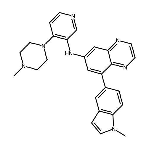 CN1CCN(c2ccncc2Nc2cc(-c3ccc4c(ccn4C)c3)c3nccnc3c2)CC1